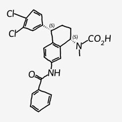 CN(C(=O)O)[C@H]1CC[C@@H](c2ccc(Cl)c(Cl)c2)c2ccc(NC(=O)c3ccccc3)cc21